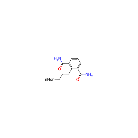 CCCCCCCCCCCCc1c(C(N)=O)cccc1C(N)=O